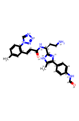 Cc1ccc(-n2cnnn2)c(/C=C/C(=O)N[C@@H](CCN)c2nc(-c3ccc(NC=O)cc3)c(C)[nH]2)c1